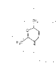 CC1CCNC(C)O1